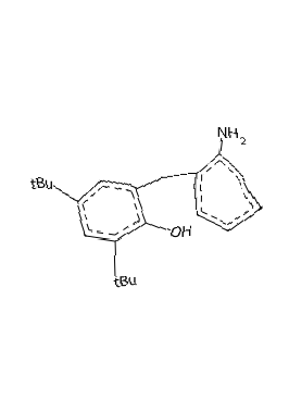 CC(C)(C)c1cc(Cc2ccccc2N)c(O)c(C(C)(C)C)c1